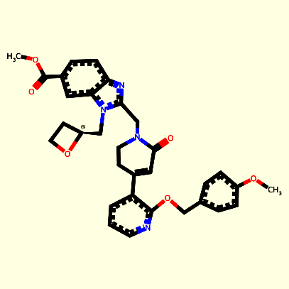 COC(=O)c1ccc2nc(CN3CCC(c4cccnc4OCc4ccc(OC)cc4)=CC3=O)n(C[C@@H]3CCO3)c2c1